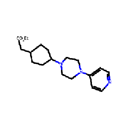 CCOC(=O)CC1CCC(N2CCN(c3ccncc3)CC2)CC1